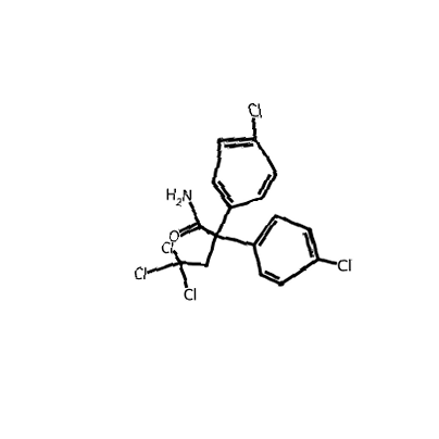 NC(=O)C(CC(Cl)(Cl)Cl)(c1ccc(Cl)cc1)c1ccc(Cl)cc1